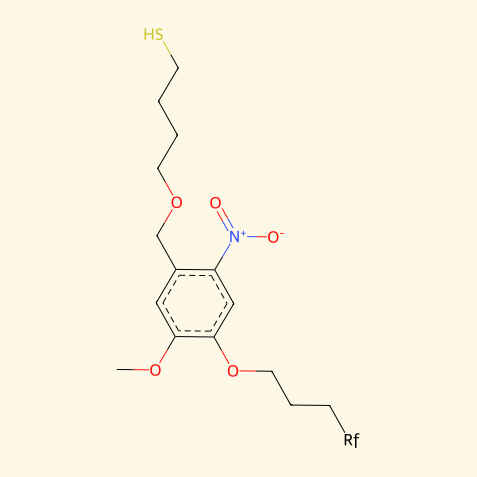 COc1cc(COCCCCS)c([N+](=O)[O-])cc1OCC[CH2][Rf]